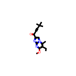 CCc1c(OC)nc2nc(C(=O)C#CC(C)(C)C)cn2c1C